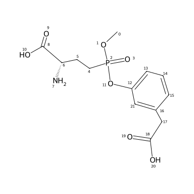 COP(=O)(CC[C@H](N)C(=O)O)Oc1cccc(CC(=O)O)c1